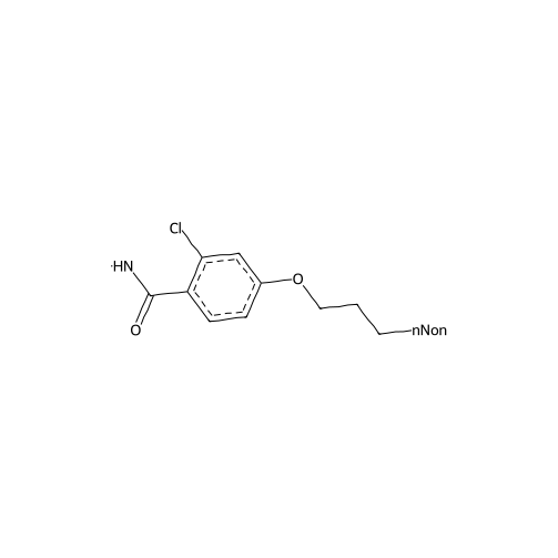 CCCCCCCCCCCCOc1ccc(C([NH])=O)c(Cl)c1